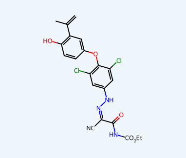 C=C(C)c1cc(Oc2c(Cl)cc(NN=C(C#N)C(=O)NC(=O)OCC)cc2Cl)ccc1O